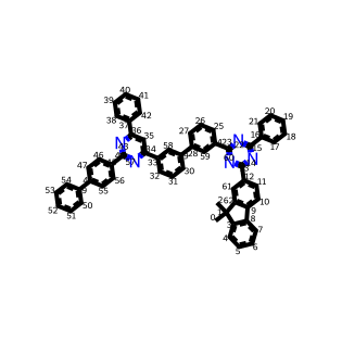 CC1(C)c2ccccc2-c2ccc(-c3nc(-c4ccccc4)nc(-c4cccc(-c5cccc(-c6cc(-c7ccccc7)nc(-c7ccc(-c8ccccc8)cc7)n6)c5)c4)n3)cc21